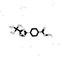 COC(=O)[C@H]1CC[C@H](c2nnc(C(C)(C)C)o2)CC1